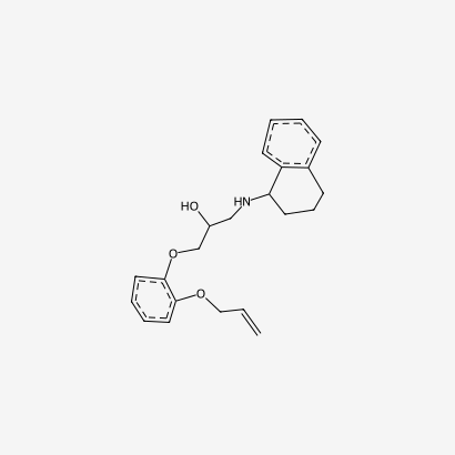 C=CCOc1ccccc1OCC(O)CNC1CCCc2ccccc21